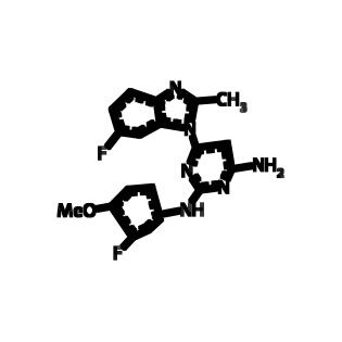 COc1ccc(Nc2nc(N)cc(-n3c(C)nc4ccc(F)cc43)n2)cc1F